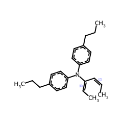 C/C=C\C(=C/C)N(c1ccc(CCC)cc1)c1ccc(CCC)cc1